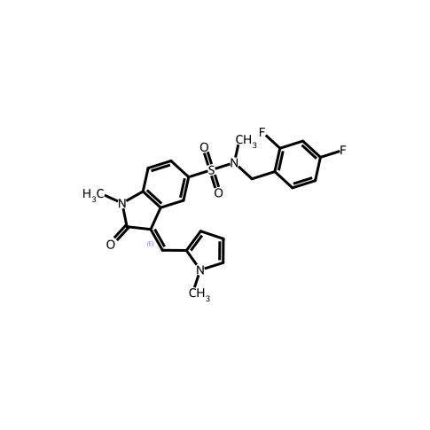 CN1C(=O)/C(=C/c2cccn2C)c2cc(S(=O)(=O)N(C)Cc3ccc(F)cc3F)ccc21